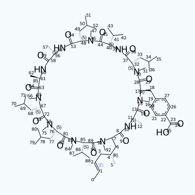 C/C=C/C[C@@H](C)CC1C(=O)N[C@@H](C)C(=O)N(C)[C@H](Cc2ccc(C(=O)O)cc2)C(=O)N(C)[C@@H](CC(C)C)C(=O)N[C@@H](C(C)C)C(=O)N(C)[C@@H](CC(C)C)C(=O)N[C@@H](C)C(=O)N[C@H](C)C(=O)N(C)[C@@H](CC(C)C)C(=O)N(C)[C@@H](CC(C)C)C(=O)N(C)[C@@H](C(C)C)C(=O)N1C